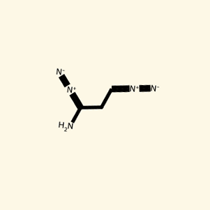 [N-]=[N+]=CCC(N)=[N+]=[N-]